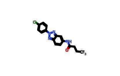 O=C(CCC(F)(F)F)Nc1ccc2nn(-c3ccc(Cl)cc3)nc2c1